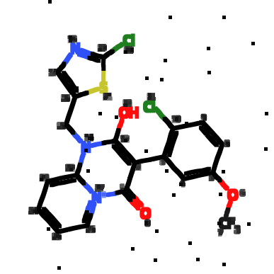 O=c1c(-c2cc(OC(F)(F)F)ccc2Cl)c(O)n(Cc2cnc(Cl)s2)c2cccc[n+]12